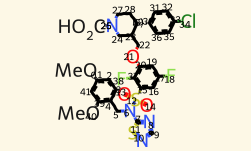 COc1ccc(CN(c2ncns2)S(=O)(=O)c2cc(F)cc(OCC3CN(C(=O)O)CC[C@@H]3c3ccc(Cl)cc3)c2F)c(OC)c1